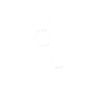 NC(=O)C=Cc1ccc(F)c(F)c1